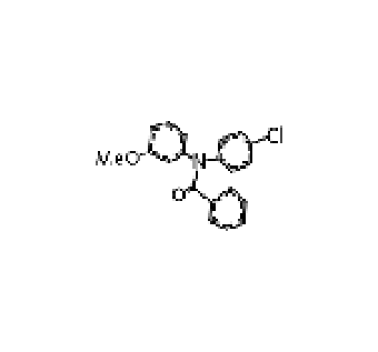 COc1cccc(N(C(=O)c2ccccc2)c2ccc(Cl)cc2)c1